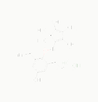 CC1=C(C)C(C)(C)[C]([Ti][O]c2c(CC(C)C)cc(C)cc2CC(C)C)=C1C.Cl.Cl